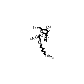 CCCCCCCCCCCCCCCCOCC(CO[C@@H]1OC(CO)[C@H](O)[C@H](C)C1N=[N+]=[N-])OC